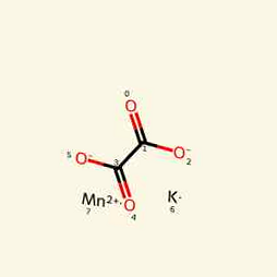 O=C([O-])C(=O)[O-].[K].[Mn+2]